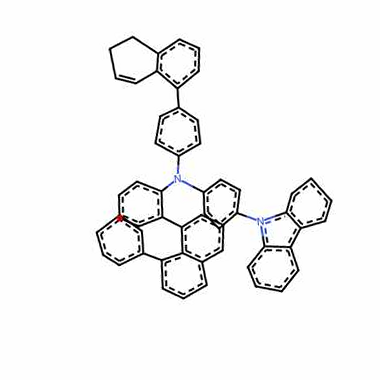 C1=Cc2c(cccc2-c2ccc(N(c3ccc(-n4c5ccccc5c5ccccc54)cc3)c3ccccc3-c3cccc4cccc(-c5ccccc5)c34)cc2)CC1